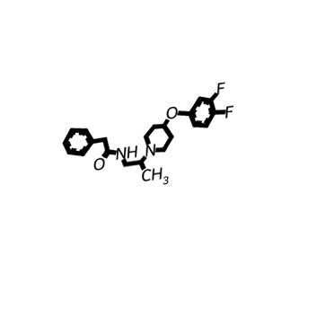 CC(CNC(=O)Cc1ccccc1)N1CCC(Oc2ccc(F)c(F)c2)CC1